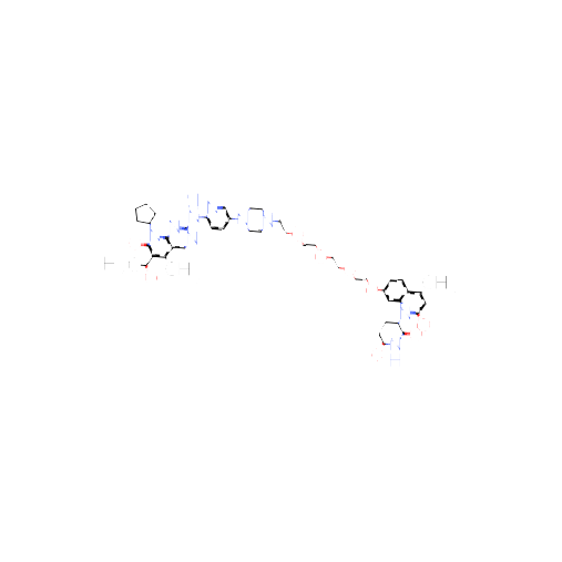 CC(=O)c1c(C)c2cnc(Nc3ccc(N4CCN(CCOCCOCCOCCOc5ccc6c(C)cc(=O)n(C7CCC(=O)NC7=O)c6c5)CC4)cn3)nc2n(C2CCCC2)c1=O